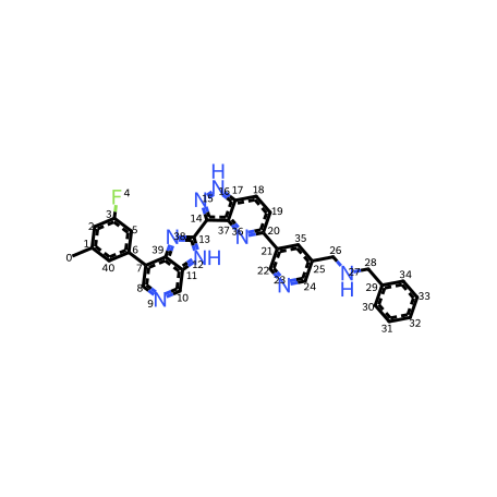 Cc1cc(F)cc(-c2cncc3[nH]c(-c4n[nH]c5ccc(-c6cncc(CNCc7ccccc7)c6)nc45)nc23)c1